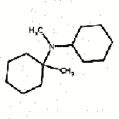 CN(C1CCCCC1)C1(C)CCCCC1